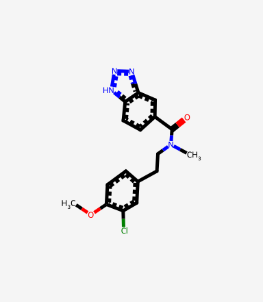 COc1ccc(CCN(C)C(=O)c2ccc3[nH]nnc3c2)cc1Cl